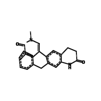 C/C(C=O)=C/C(=C\N(C)C)c1cc2c(cc1Cc1ccccc1)NC(=O)CC2